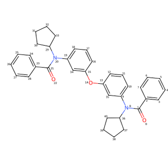 O=C(c1ccccc1)N(c1cccc(Oc2cccc(N(C(=O)c3ccccc3)C3CCCC3)c2)c1)C1CCCC1